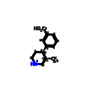 O=C(O)c1cccc([C@H]2CCNC[C@H]2C(F)(F)F)c1